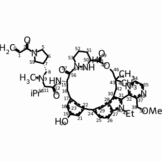 C=CC(=O)N1CC[C@H](CN(C)[C@H](C(=O)N[C@H]2Cc3cc(O)cc(c3)-c3ccc4c(c3)c(c(-c3nccnc3COC)n4CC)CC(C)(C)COC(=O)[C@@H]3CCCN(N3)C2=O)C(C)C)C1